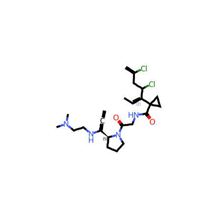 C=C=C(NCCN(C)C)[C@@H]1CCCN1C(=O)CNC(=O)C1(/C(=C/C)C(Cl)CC(=C)Cl)CC1